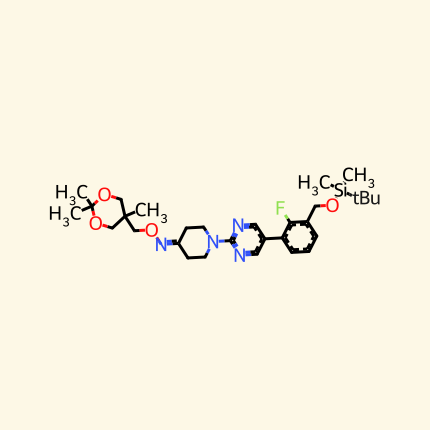 CC1(CON=C2CCN(c3ncc(-c4cccc(CO[Si](C)(C)C(C)(C)C)c4F)cn3)CC2)COC(C)(C)OC1